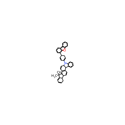 CC1(C)C2=CC=CCC2C2C=CC3=C(C=CC4C3c3ccccc3N4C3=CCC(c4cccc5c4oc4ccccc45)C=C3)C21